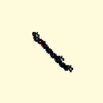 CCCCC1CCC(C2CCC(C(=O)Oc3ccc(N=Nc4ccc(N=Nc5ccc(N=Nc6ccc(N=Nc7ccc(N(CC)CC)cc7)cc6C)cc5)cc4)cc3)CC2)CC1